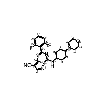 N#Cc1cnn2c(NC3CCC(N4CCOCC4)CC3)nc(-c3c(F)cccc3F)nc12